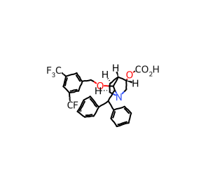 O=C(O)O[C@@H]1CN2CC[C@H]1[C@H](OCc1cc(C(F)(F)F)cc(C(F)(F)F)c1)[C@@H]2C(c1ccccc1)c1ccccc1